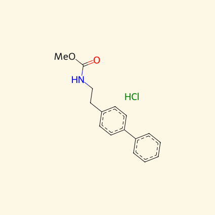 COC(=O)NCCc1ccc(-c2ccccc2)cc1.Cl